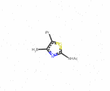 Bc1nc(NC(C)=O)sc1C(C)C